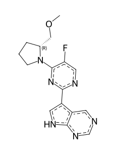 COC[C@H]1CCCN1c1nc(-c2c[nH]c3ncncc23)ncc1F